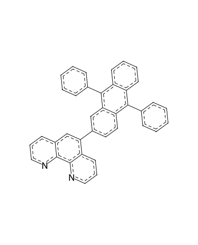 c1ccc(-c2c3ccccc3c(-c3ccccc3)c3cc(-c4cc5cccnc5c5ncccc45)ccc23)cc1